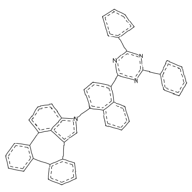 c1ccc(-c2nc(-c3ccccc3)nc(-c3ccc(-n4cc5c6c(cccc64)-c4ccccc4-c4ccccc4-5)c4ccccc34)n2)cc1